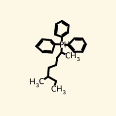 CCC(C)CCCC(C)[PH](c1ccccc1)(c1ccccc1)c1ccccc1